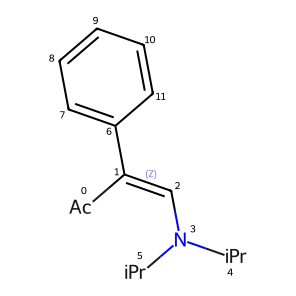 CC(=O)/C(=C\N(C(C)C)C(C)C)c1ccccc1